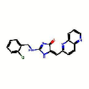 O=C1N=C(NCc2ccccc2Cl)NC1=Cc1ccc2ncccc2n1